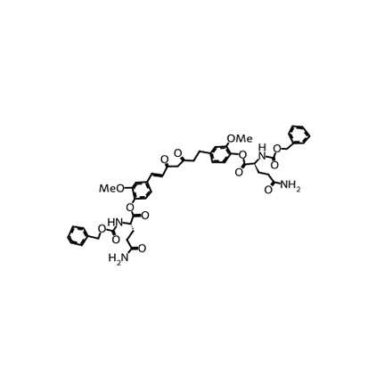 COc1cc(/C=C/C(=O)CC(=O)CCc2ccc(OC(=O)[C@H](CCC(N)=O)NC(=O)OCc3ccccc3)c(OC)c2)ccc1OC(=O)[C@H](CCC(N)=O)NC(=O)OCc1ccccc1